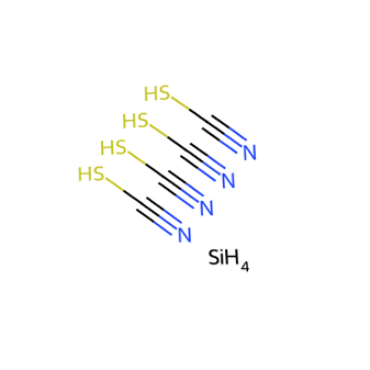 N#CS.N#CS.N#CS.N#CS.[SiH4]